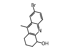 Cc1c2c(nc3ccc(Br)cc13)C(O)CCC2